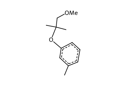 COCC(C)(C)Oc1cccc(C)c1